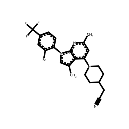 Cc1cc(N2CCC(CC#N)CC2)c2c(C)cn(-c3ccc(C(F)(F)F)cc3Br)c2n1